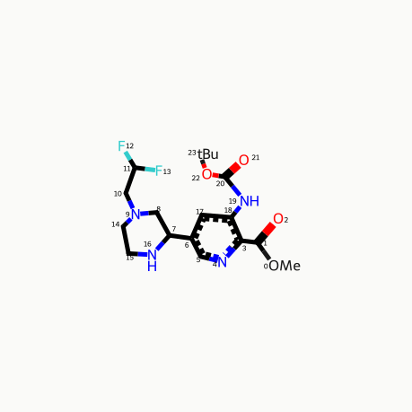 COC(=O)c1ncc(C2CN(CC(F)F)CCN2)cc1NC(=O)OC(C)(C)C